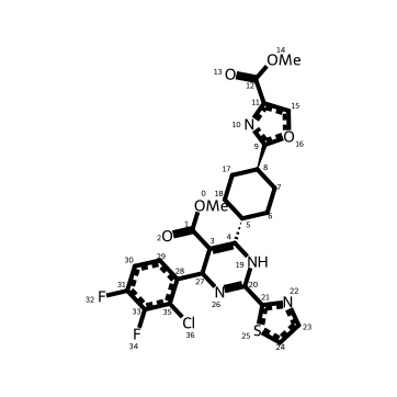 COC(=O)C1=C([C@H]2CC[C@H](c3nc(C(=O)OC)co3)CC2)NC(c2nccs2)=NC1c1ccc(F)c(F)c1Cl